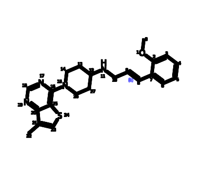 COc1ccccc1/C=C/CNC1CCN(c2ncnc3c(C)csc23)CC1